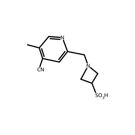 Cc1cnc(CN2CC(S(=O)(=O)O)C2)cc1C#N